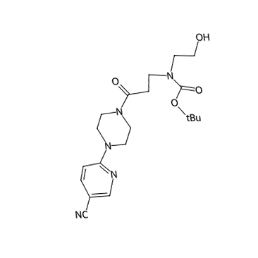 CC(C)(C)OC(=O)N(CCO)CCC(=O)N1CCN(c2ccc(C#N)cn2)CC1